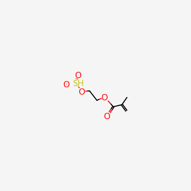 C=C(C)C(=O)OCCO[SH](=O)=O